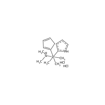 C[SiH](C)[Zr]([CH3])([CH3])([CH3])([C]1=CC=CC1)[c]1ccc[pH]1.Cl.Cl